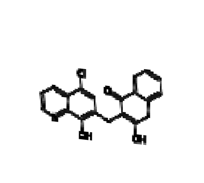 O=C1C(Cc2cc(Cl)c3cccnc3c2O)=C(O)Cc2ccccc21